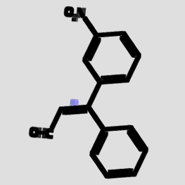 O=C/C=C(\c1ccccc1)c1cccc([N+](=O)[O-])c1